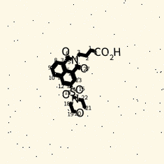 O=C(O)CCCN1C(=O)c2cccc3cc(S(=O)(=O)N4CCOCC4)cc(c23)C1=O